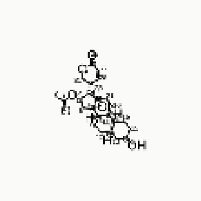 CC(=O)O[C@H]1C[C@]2(O)[C@@H]3CC[C@@H]4C[C@@H](O)CC[C@]4(C)[C@H]3CC[C@]2(C)[C@H]1C1C=CC(=O)OC1